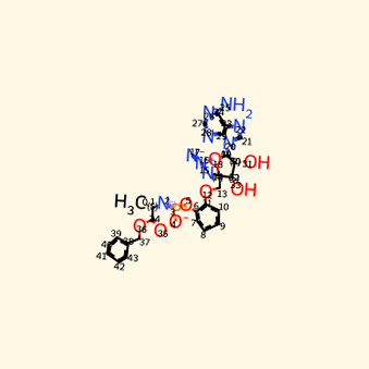 C[C@H](/N=[P+](\[O-])Oc1ccccc1OC[C@@]1(N=[N+]=[N-])O[C@@H](n2cnc3c(N)ncnc32)[C@H](O)[C@@H]1O)C(=O)OCc1ccccc1